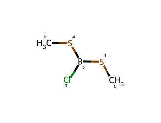 CSB(Cl)SC